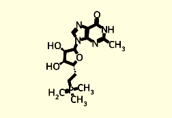 C=P(C)(C)CC[C@H]1OC(n2cnc3c(=O)[nH]c(C)nc32)[C@H](O)[C@@H]1O